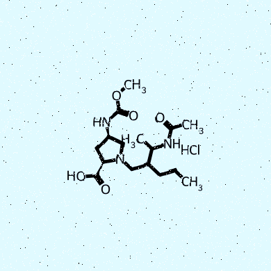 CCCC(CN1C[C@H](NC(=O)OC)C[C@@H]1C(=O)O)C(C)NC(C)=O.Cl